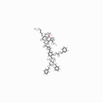 CCCCC[C@@H](C(=O)NCNC(=O)c1ccc(-c2ccc(C(=O)N[C@@H](CC(=O)OCc3ccccc3)C(=O)OCc3ccccc3)c(OCC(=O)OCc3ccccc3)c2)o1)[C@@H](CC)N(C=O)OC(=O)c1c(C)noc1C